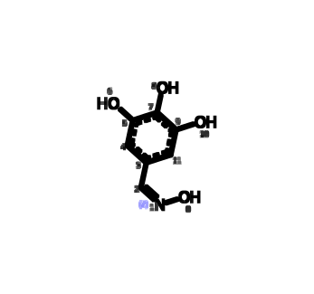 O/N=C\c1cc(O)c(O)c(O)c1